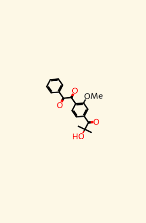 COc1cc(C(=O)C(C)(C)O)ccc1C(=O)C(=O)c1ccccc1